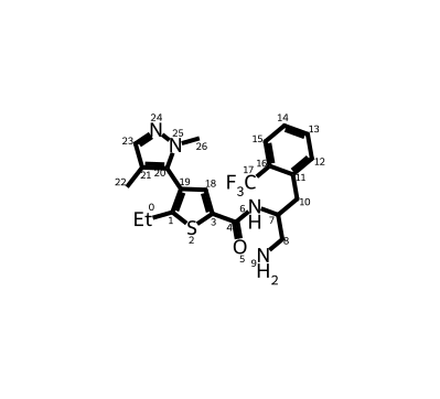 CCc1sc(C(=O)NC(CN)Cc2ccccc2C(F)(F)F)cc1-c1c(C)cnn1C